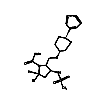 CCC1(CC)C[C@H](NS(C)(=O)=O)C(CO[C@H]2CC[C@@H](c3ccccc3)CC2)N1C(=O)OC